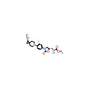 [C-]#[N+]C1CC12CCN(c1ccc(N3C[C@H](CNC(C)=O)OC3=O)cc1F)CC2